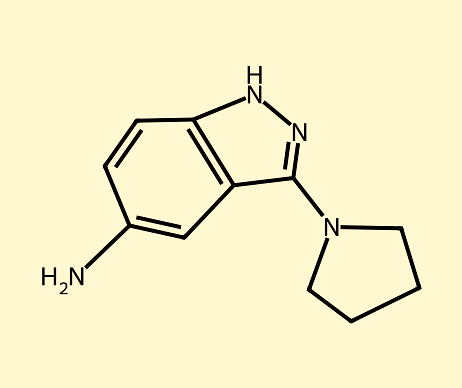 Nc1ccc2[nH]nc(N3CCCC3)c2c1